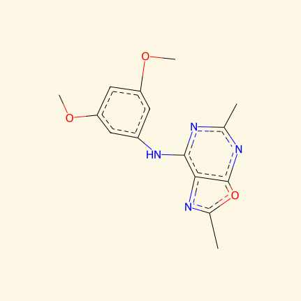 COc1cc(Nc2nc(C)nc3oc(C)nc23)cc(OC)c1